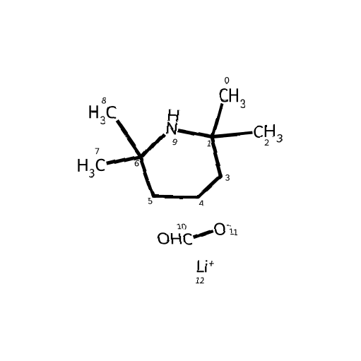 CC1(C)CCCC(C)(C)N1.O=C[O-].[Li+]